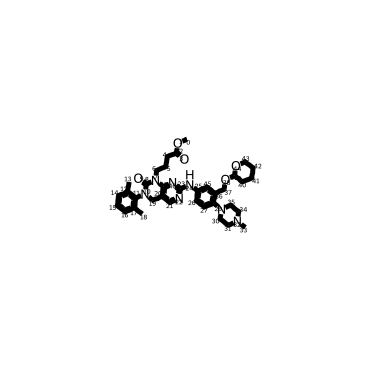 COC(=O)CCCN1C(=O)N(c2c(C)cccc2C)Cc2cnc(Nc3ccc(N4CCN(C)CC4)c(COC4CCCCO4)c3)nc21